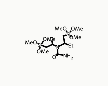 CCC(C[Si](OC)(OC)OC)N(C(N)=O)C(CC)C[Si](OC)(OC)OC